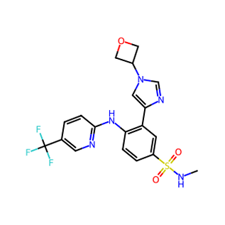 CNS(=O)(=O)c1ccc(Nc2ccc(C(F)(F)F)cn2)c(-c2cn(C3COC3)cn2)c1